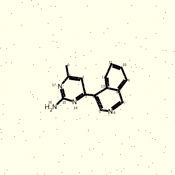 Cc1cc(-c2cncc3ccccc23)nc(N)n1